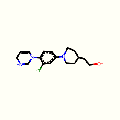 OCCC1CCN(c2ccc(N3C=CCNC3)c(Cl)c2)CC1